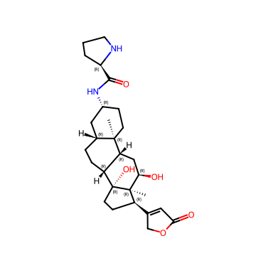 C[C@@]12CC[C@@H](NC(=O)[C@H]3CCCN3)C[C@H]1CC[C@@H]1[C@H]2C[C@@H](O)[C@@]2(C)[C@@H](C3=CC(=O)OC3)CC[C@@]12O